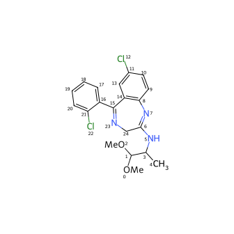 COC(OC)C(C)NC1=Nc2ccc(Cl)cc2C(c2ccccc2Cl)=NC1